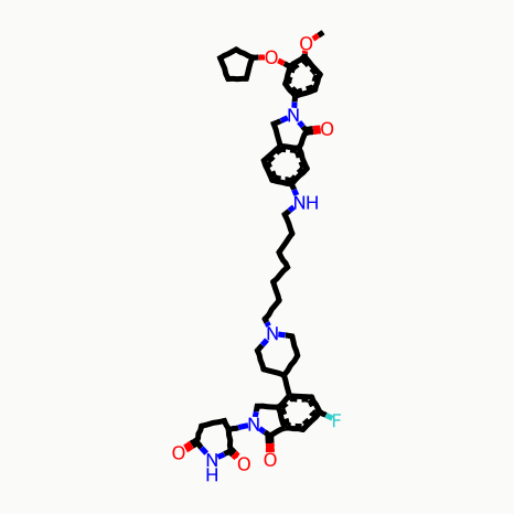 COc1ccc(N2Cc3ccc(NCCCCCCCN4CCC(c5cc(F)cc6c5CN(C5CCC(=O)NC5=O)C6=O)CC4)cc3C2=O)cc1OC1CCCC1